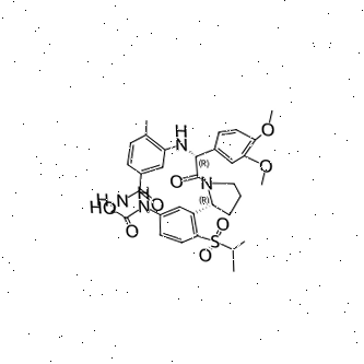 COc1ccc([C@@H](Nc2cc(C(N)=O)ccc2C)C(=O)N2CCC[C@@H]2c2cc(NC(=O)O)ccc2S(=O)(=O)C(C)C)cc1OC